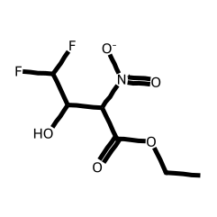 CCOC(=O)C(C(O)C(F)F)[N+](=O)[O-]